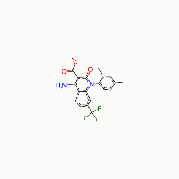 COC(=O)c1c(N)c2ccc(C(F)(F)F)cc2n(-c2ccc(C)cc2C)c1=O